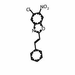 O=[N+]([O-])c1cc2oc(C=Cc3ccccc3)nc2cc1Cl